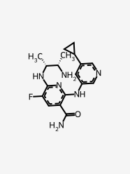 C[C@H](N)[C@@H](C)Nc1nc(Nc2cncc(C3CC3)c2)c(C(N)=O)cc1F